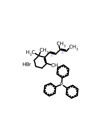 Br.C/C=C(C)/C=C/C1=C(C)CCCC1(C)C.c1ccc(P(c2ccccc2)c2ccccc2)cc1